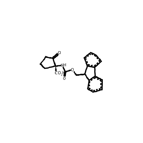 O=C(N[C@]1(C(=O)O)CCCC1=O)OCC1c2ccccc2-c2ccccc21